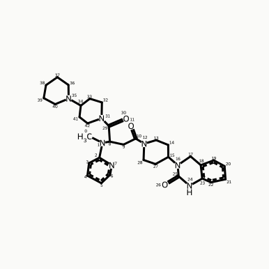 CN(c1ccccn1)C(CC(=O)N1CCC(N2Cc3ccccc3NC2=O)CC1)C(=O)N1CCC(N2CCCCC2)CC1